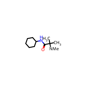 CNC(C)(C)C(=O)NC1CCCCC1